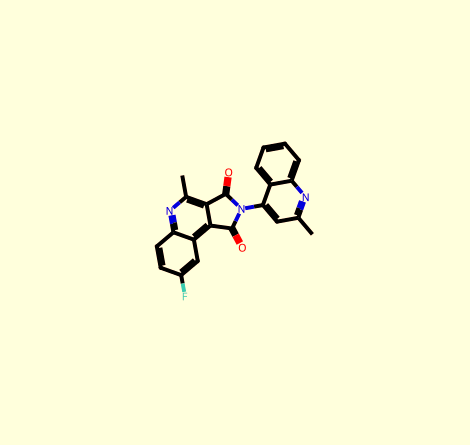 Cc1cc(N2C(=O)c3c(C)nc4ccc(F)cc4c3C2=O)c2ccccc2n1